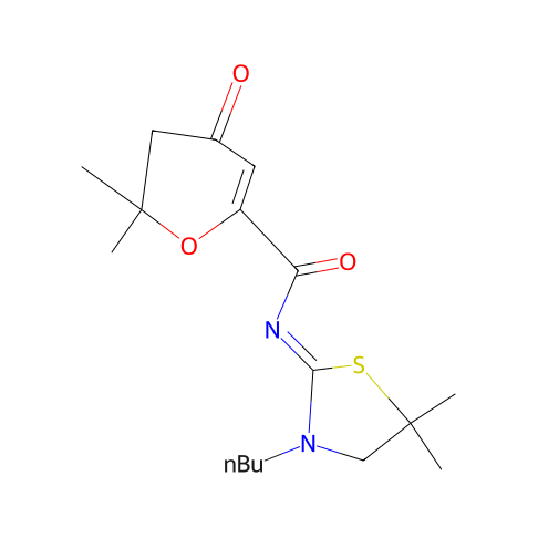 CCCCN1CC(C)(C)SC1=NC(=O)C1=CC(=O)CC(C)(C)O1